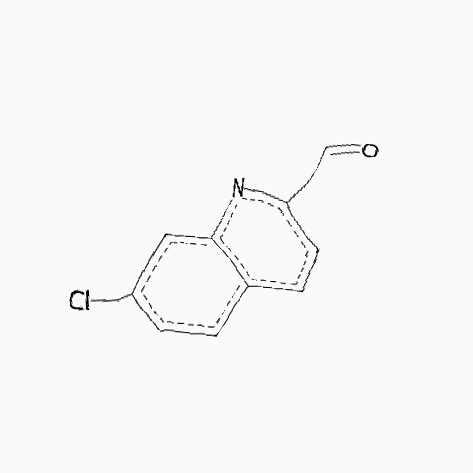 O=Cc1ccc2ccc(Cl)cc2n1